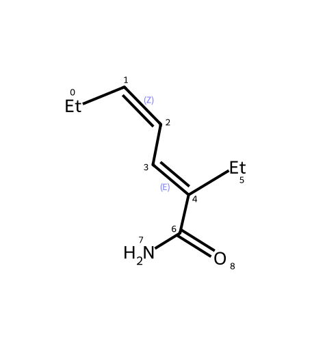 CC/C=C\C=C(/CC)C(N)=O